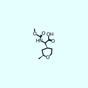 COC(=O)NC(C(=O)O)[C@H]1CCO[C@@H](C)C1